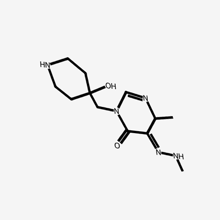 CN/N=C1/C(=O)N(CC2(O)CCNCC2)C=NC1C